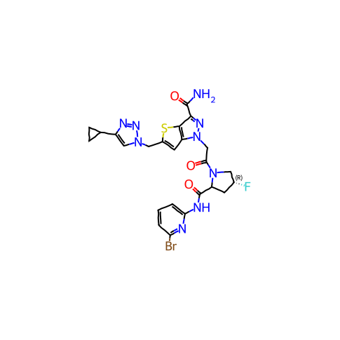 NC(=O)c1nn(CC(=O)N2C[C@H](F)CC2C(=O)Nc2cccc(Br)n2)c2cc(Cn3cc(C4CC4)nn3)sc12